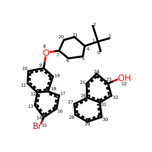 CC(C)(C)C1CCC(Oc2ccc3cc(Br)ccc3c2)CC1.Oc1ccc2ccccc2c1